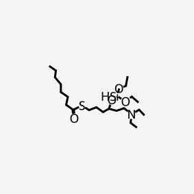 CCCCCCCC(=O)SCCCC(CCN(CC)CC)O[SiH](OCC)OCC